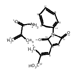 C=C(C)C(N)=O.CC(=CC1=CC(=O)N(c2ccccc2)C1=O)C(=O)O